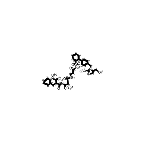 CCCCc1ncc(CO)n1Cc1ccc(-c2ccccc2S(=O)(=O)NC(=O)CCNC(=O)CC(NC(=O)C(Cc2ccccc2)C(=O)NO)C(=O)O)cc1